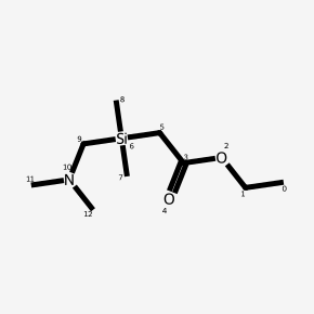 CCOC(=O)C[Si](C)(C)CN(C)C